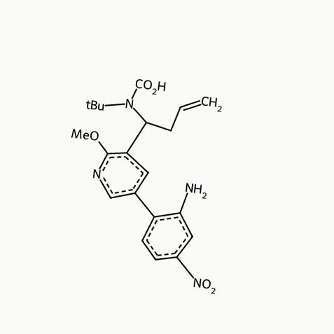 C=CCC(c1cc(-c2ccc([N+](=O)[O-])cc2N)cnc1OC)N(C(=O)O)C(C)(C)C